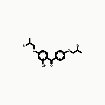 CC(Br)COc1ccc(C(=O)c2ccc(OCC(C)Br)cc2O)cc1